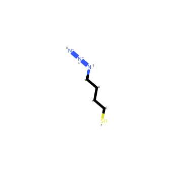 [N-]=[N+]=NCCCCS